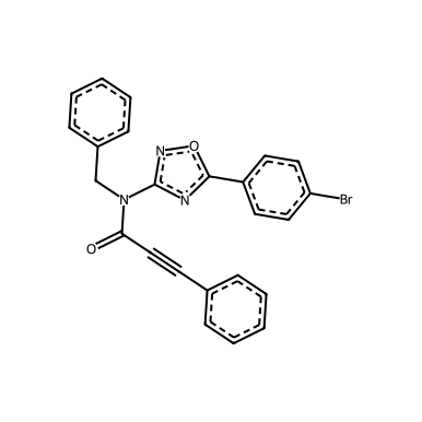 O=C(C#Cc1ccccc1)N(Cc1ccccc1)c1noc(-c2ccc(Br)cc2)n1